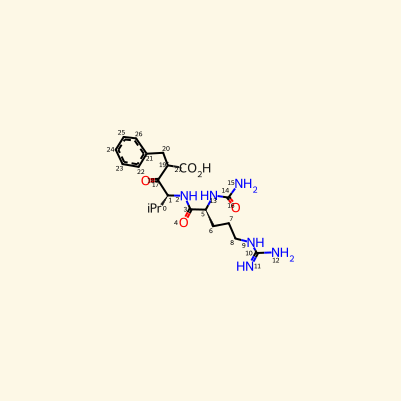 CC(C)[C@H](NC(=O)[C@H](CCCNC(=N)N)NC(N)=O)C(=O)[C](Cc1ccccc1)C(=O)O